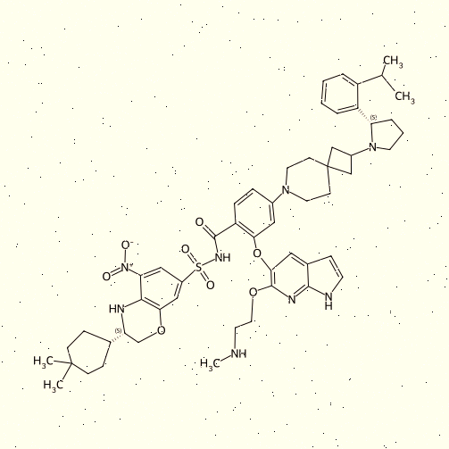 CNCCOc1nc2[nH]ccc2cc1Oc1cc(N2CCC3(CC2)CC(N2CCC[C@H]2c2ccccc2C(C)C)C3)ccc1C(=O)NS(=O)(=O)c1cc2c(c([N+](=O)[O-])c1)N[C@@H](C1CCC(C)(C)CC1)CO2